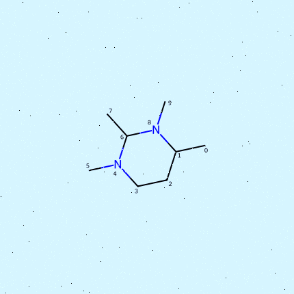 CC1CCN(C)C(C)N1C